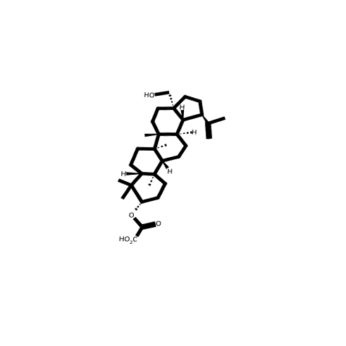 C=C(C)[C@@H]1CC[C@]2(CO)CC[C@]3(C)[C@H](CC[C@@H]4[C@@]5(C)CC[C@H](OC(=O)C(=O)O)C(C)(C)[C@@H]5CC[C@]43C)[C@@H]12